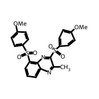 COc1ccc(S(=O)(=O)c2nc3c(S(=O)(=O)c4ccc(OC)cc4)cccc3nc2C)cc1